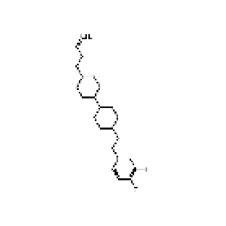 C=CCCC1=CCC(C2CCC(CCc3ccc(Cl)c(F)c3)CC2)CC1